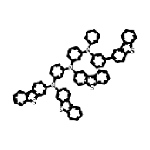 c1ccc(N(c2cccc(-c3ccc4sc5ccccc5c4c3)c2)c2cccc(N(c3cccc(N(c4ccc5c(c4)sc4ccccc45)c4ccc5c(c4)sc4ccccc45)c3)c3ccc4sc5ccccc5c4c3)c2)cc1